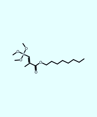 CCCCCCCCOC(=O)C(C)=C[Si](OC)(OC)OC